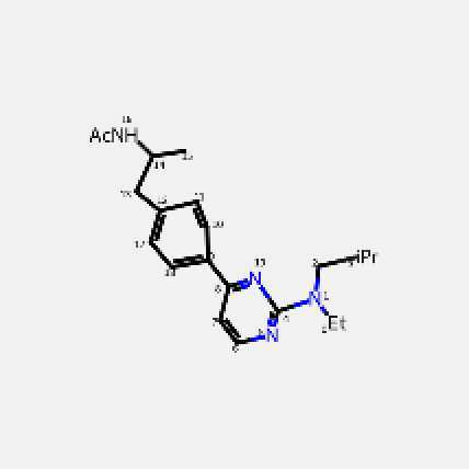 CCN(CC(C)C)c1nccc(-c2ccc(CC(C)NC(C)=O)cc2)n1